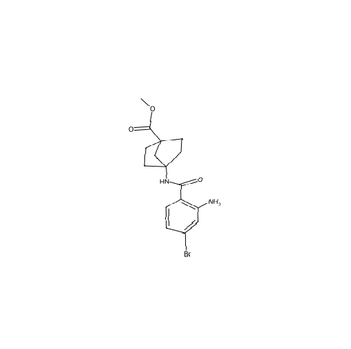 COC(=O)C12CCC(NC(=O)c3ccc(Br)cc3N)(CC1)C2